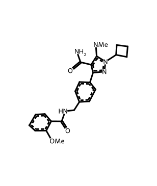 CNc1c(C(N)=O)c(-c2ccc(CNC(=O)c3ccccc3OC)cc2)nn1C1CCC1